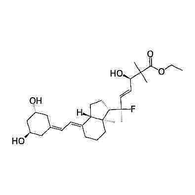 CCOC(=O)C(C)(C)[C@H](O)/C=C/[C@@](C)(F)[C@H]1CC[C@H]2/C(=C/C=C3C[C@@H](O)C[C@H](O)C3)CCC[C@@]21C